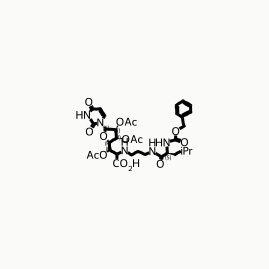 CC(=O)O[C@H]1[C@@H](OC(C)=O)[C@@H](n2ccc(=O)[nH]c2=O)O[C@@H]1[C@H](OC(C)=O)C(NCCCNC(=O)[C@H](CC(C)C)NC(=O)OCc1ccccc1)C(=O)O